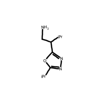 CC(C)c1nnc(C(CN)C(C)C)o1